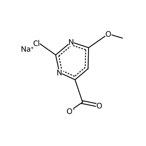 COc1cc(C(=O)[O-])nc(Cl)n1.[Na+]